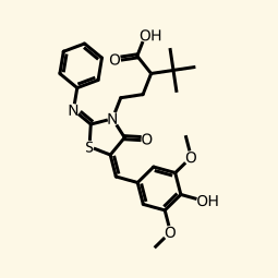 COc1cc(C=C2SC(=Nc3ccccc3)N(CCC(C(=O)O)C(C)(C)C)C2=O)cc(OC)c1O